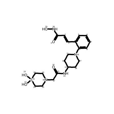 O=C(/C=C/c1ccccc1N1CCC(NC(=O)CN2CCS(O)(O)CC2)CC1)NO